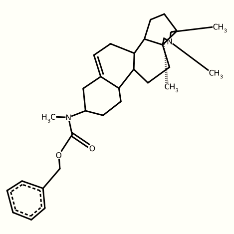 CC1C2CCC3C4CC=C5CC(N(C)C(=O)OCc6ccccc6)CCC5C4CCC32[C@H](C)N1C